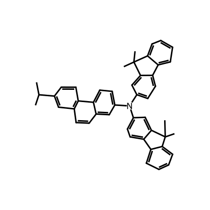 CC(C)c1ccc2c(ccc3cc(N(c4ccc5c(c4)C(C)(C)c4ccccc4-5)c4ccc5c(c4)C(C)(C)c4ccccc4-5)ccc32)c1